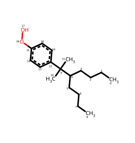 CCCCC(CCCC)C(C)(C)c1ccc(OO)cc1